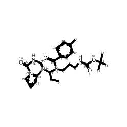 CCC(N(CCCNC(=O)OC(C)(C)C)C(=O)c1ccc(C)cc1)N1CNC(=O)n2cccc21